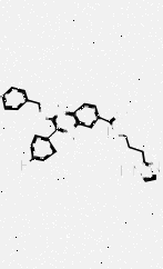 O=C(NCCCc1ncc[nH]1)c1ccc2nc(OCc3ccccc3)c(-c3ccc(F)cc3)nc2c1